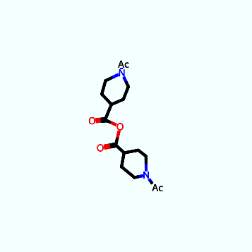 CC(=O)N1CCC(C(=O)OC(=O)C2CCN(C(C)=O)CC2)CC1